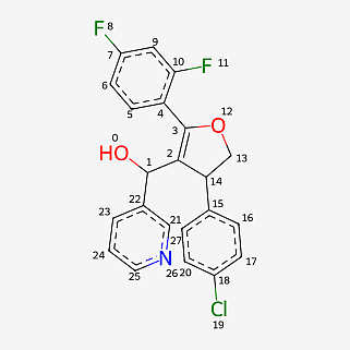 OC(C1=C(c2ccc(F)cc2F)OCC1c1ccc(Cl)cc1)c1cccnc1